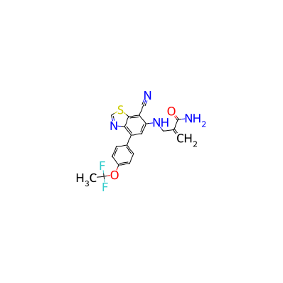 C=C(CNc1cc(-c2ccc(OC(C)(F)F)cc2)c2ncsc2c1C#N)C(N)=O